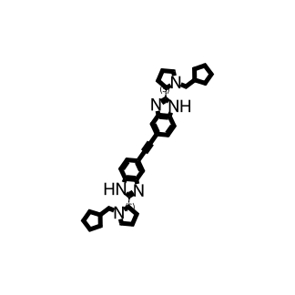 C(#Cc1ccc2[nH]c([C@@H]3CCCN3CC3CCCC3)nc2c1)c1ccc2[nH]c([C@@H]3CCCN3CC3CCCC3)nc2c1